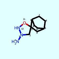 NN1CC2(CC3CCC2CC3)ON1